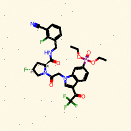 CCOP(=O)(OCC)c1ccc2c(C(=O)C(F)(F)F)cn(CC(=O)N3C[C@H](F)C[C@H]3C(=O)NCc3cccc(C#N)c3F)c2c1